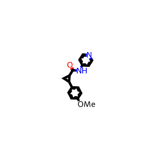 COc1ccc(C2CC2C(=O)Nc2ccncc2)cc1